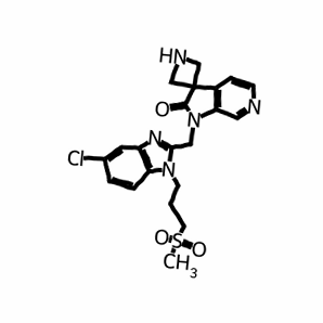 CS(=O)(=O)CCCn1c(CN2C(=O)C3(CNC3)c3ccncc32)nc2cc(Cl)ccc21